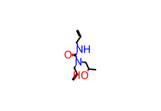 C=CCNC(=O)N(CC=C)CC(C)O